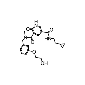 CN(Cc1cccc(OCCO)c1)C(=O)c1cc(C(=O)NCCC2CC2)c[nH]c1=O